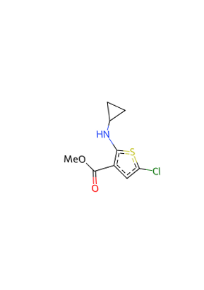 COC(=O)c1cc(Cl)sc1NC1CC1